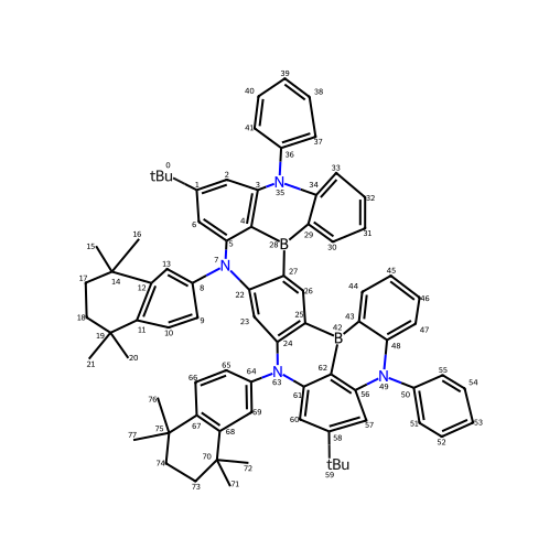 CC(C)(C)c1cc2c3c(c1)N(c1ccc4c(c1)C(C)(C)CCC4(C)C)c1cc4c(cc1B3c1ccccc1N2c1ccccc1)B1c2ccccc2N(c2ccccc2)c2cc(C(C)(C)C)cc(c21)N4c1ccc2c(c1)C(C)(C)CCC2(C)C